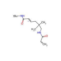 C=CC(=O)NCC(C)(C)C/C=C/C(=O)NC(C)(C)C